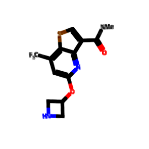 CNC(=O)c1csc2c(C(F)(F)F)cc(OC3CNC3)nc12